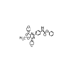 CCOc1c(C(=O)N2CCOCC2)nc(-c2ccc(NC(=O)Oc3ccccc3)cc2)nc1N1CCOCC1